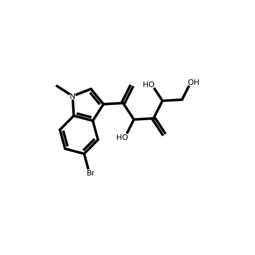 C=C(c1cn(C)c2ccc(Br)cc12)C(O)C(=C)C(O)CO